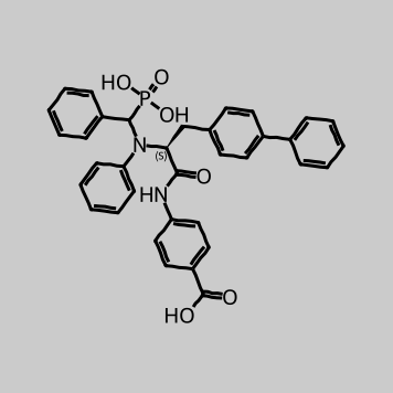 O=C(O)c1ccc(NC(=O)[C@H](Cc2ccc(-c3ccccc3)cc2)N(c2ccccc2)C(c2ccccc2)P(=O)(O)O)cc1